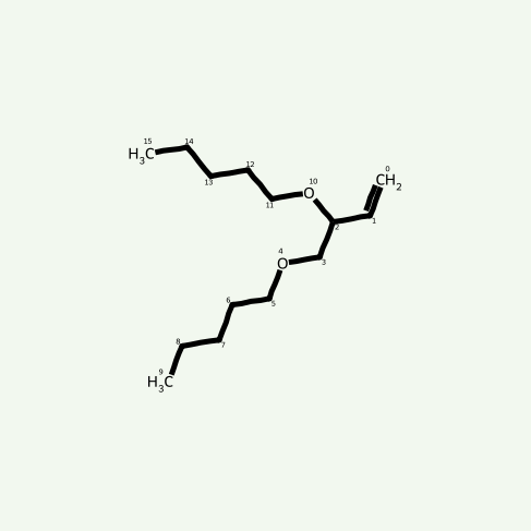 C=CC(COCCCCC)OCCCCC